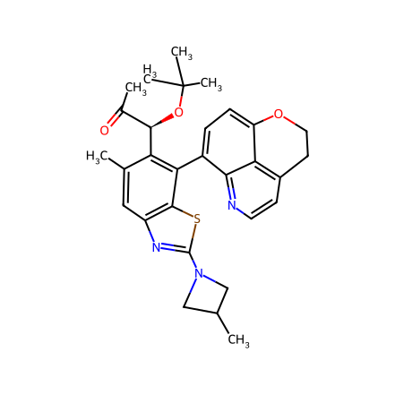 CC(=O)[C@@H](OC(C)(C)C)c1c(C)cc2nc(N3CC(C)C3)sc2c1-c1ccc2c3c(ccnc13)CCO2